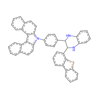 c1ccc2c(c1)NC(c1ccc(-n3c4ccc5ccccc5c4c4c5ccccc5ccc43)cc1)C(c1cccc3c1sc1ccccc13)N2